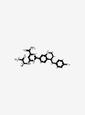 C[C@H](Nc1cc(C(N)=O)nc(-c2ccc3c(c2)OCCC3Cc2ccc(F)cc2)n1)C(N)=O